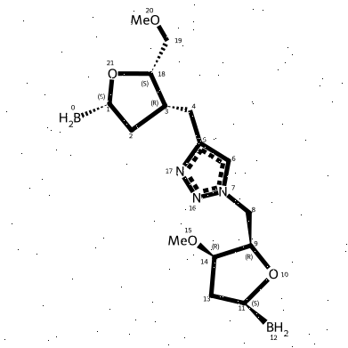 B[C@H]1C[C@@H](Cc2cn(C[C@H]3O[C@@H](B)C[C@H]3OC)nn2)[C@@H](COC)O1